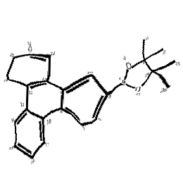 CC1(C)OB(c2ccc3c(c2)c2c(c4ccccc43)CCC=C2)OC1(C)C